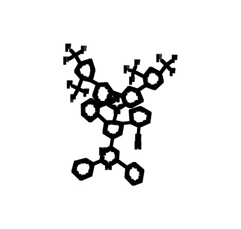 N#Cc1ccccc1-c1cc(-c2cc(-c3ccccc3)nc(-c3ccccc3)n2)cc(-c2ccccc2C#N)c1-n1c2ccc(-c3ccc(C(F)(F)F)cc3C(F)(F)F)cc2c2cc(-c3ccc(C(F)(F)F)cc3C(F)(F)F)ccc21